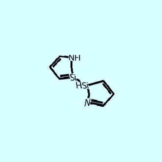 C1=C[SiH]([si]2ccc[nH]2)N=C1